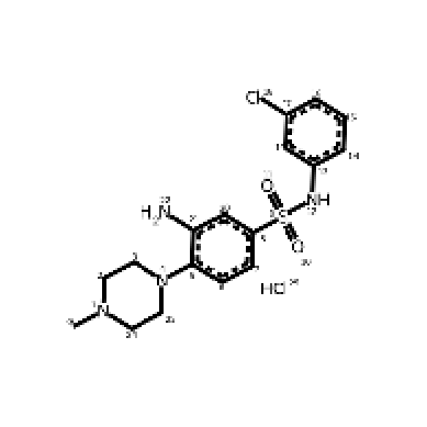 CN1CCN(c2ccc(S(=O)(=O)Nc3cccc(Cl)c3)cc2N)CC1.Cl